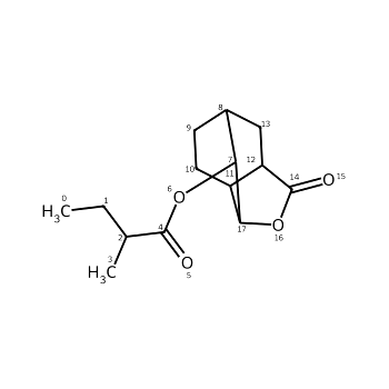 CCC(C)C(=O)OC1C2CCC3C(C2)C(=O)OC31